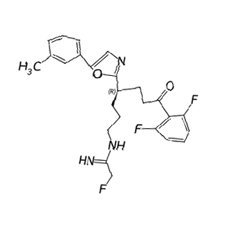 Cc1cccc(-c2cnc([C@H](CCCNC(=N)CF)CCC(=O)c3c(F)cccc3F)o2)c1